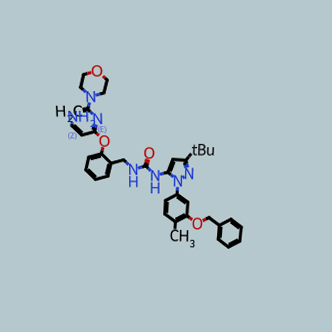 C=C(/N=C(\C=C/N)Oc1ccccc1CNC(=O)Nc1cc(C(C)(C)C)nn1-c1ccc(C)c(OCc2ccccc2)c1)N1CCOCC1